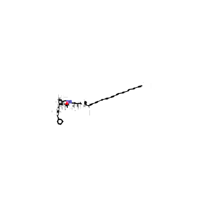 B[C@@H]1O[C@H](COC(=O)OCc2ccccc2)[C@H](OP(=O)(O)OC)C1C/C=C/CCCCNC(=S)NC#CC#CC#CC#CC#CC#CC#CC#CC#CC#CC